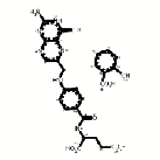 Nc1nc2ncc(CNc3ccc(C(=O)NC(CCC(=O)O)C(=O)O)cc3)nc2c(=O)[nH]1.O=C(O)c1ccccc1O